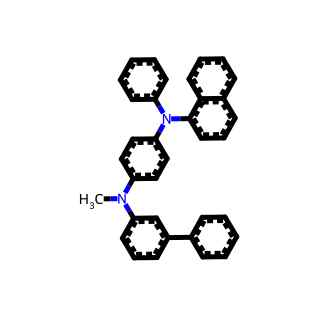 CN(c1ccc(N(c2ccccc2)c2cccc3ccccc23)cc1)c1cccc(-c2ccccc2)c1